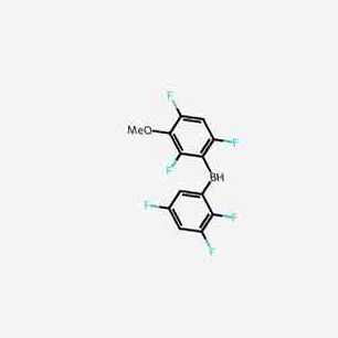 COc1c(F)cc(F)c(Bc2cc(F)cc(F)c2F)c1F